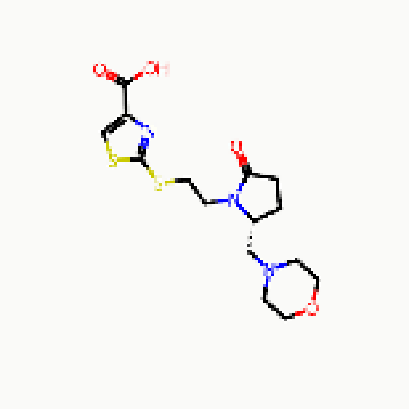 O=C(O)c1csc(SCCN2C(=O)CC[C@@H]2CN2CCOCC2)n1